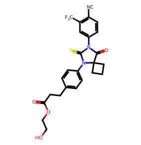 [C-]#[N+]c1ccc(N2C(=O)C3(CCC3)N(c3ccc(CCC(=O)OCCO)cc3)C2=S)cc1C(F)(F)F